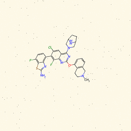 CN1CCc2c(cccc2Oc2nc(N3CC4CCC(C3)N4)c3cc(Cl)c(-c4ccc(F)c5sc(N)nc45)c(F)c3n2)C1